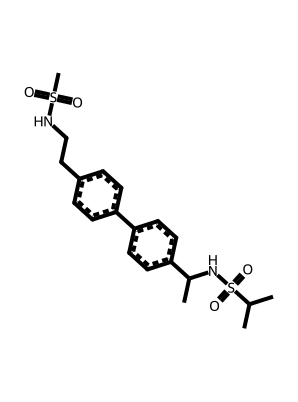 CC(NS(=O)(=O)C(C)C)c1ccc(-c2ccc(CCNS(C)(=O)=O)cc2)cc1